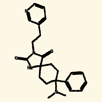 CN(C)C1(c2ccccc2)CCC2(CC1)NC(=O)N(CCc1cccnc1)C2=O